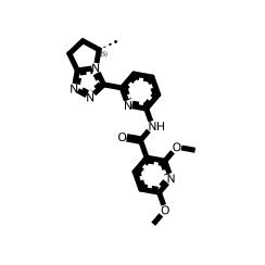 COc1ccc(C(=O)Nc2cccc(-c3nnc4n3[C@@H](C)CC4)n2)c(OC)n1